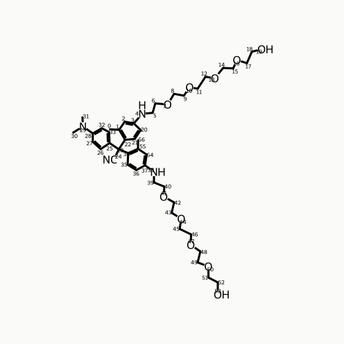 Cc1cc(NCCOCCOCCOCCOCCO)ccc1C(C#N)(c1ccc(N(C)C)cc1)c1ccc(NCCOCCOCCOCCOCCO)cc1C